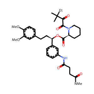 CCC(C)(C)C(=O)C(=O)N1CCCC[C@H]1C(=O)O[C@H](CCc1ccc(OC)c(OC)c1)c1cccc(NC(=O)CCC(=O)NC)c1